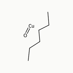 CCCCCC.[O]=[Cu]